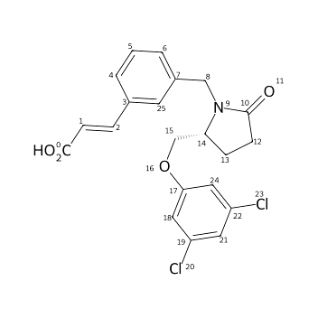 O=C(O)C=Cc1cccc(CN2C(=O)CC[C@@H]2COc2cc(Cl)cc(Cl)c2)c1